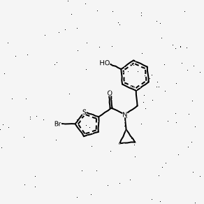 O=C(c1ccc(Br)s1)N(Cc1cccc(O)c1)C1CC1